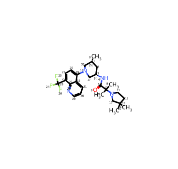 C[C@H]1C[C@@H](NC(=O)C(C)(C)N2CCC(C)(C)C2)CN(c2ccc(C(F)(F)F)c3ncccc23)C1